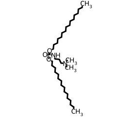 CCCCCCCCCCCCCCCCOP(=O)(NCCCN(C)C)OCCCCCCCCCCCCCCCC